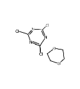 C1COCCO1.Clc1nc(Cl)nc(Cl)n1